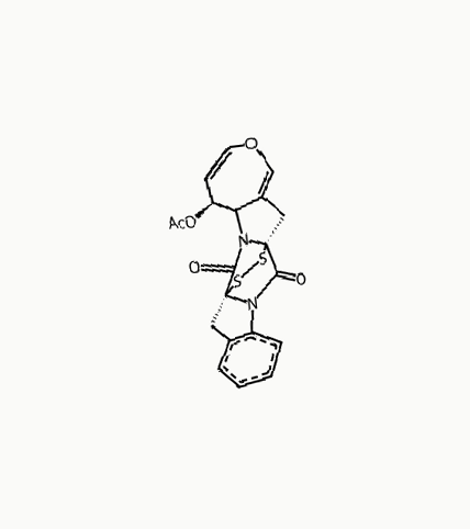 CC(=O)O[C@H]1C=COC=C2C[C@@]34SS[C@]5(Cc6ccccc6N5C3=O)C(=O)N4C21